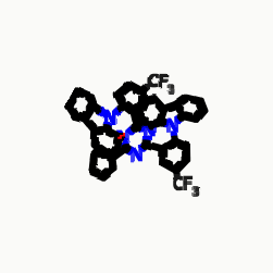 FC(F)(F)c1ccc(-n2c3ccccc3c3ccccc32)c(-c2nc(-c3ccccc3)nc(-c3cc(C(F)(F)F)ccc3-n3c4ccccc4c4ccccc43)n2)c1